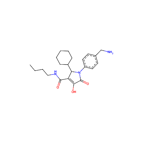 CCCCNC(=O)C1=C(O)C(=O)N(c2ccc(CN)cc2)C1C1CCCCC1